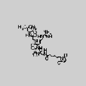 CC(C)C[C@H](NC(=O)CNC(=O)[C@H](CCCNC(=N)N)NC(=O)[C@@H]1CCCN1C(=O)CNC(=O)CCCCCN1C(=O)C=CC1=O)C(=O)O